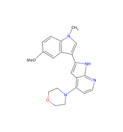 COc1ccc2c(c1)c(-c1cc3c(N4CCOCC4)ccnc3[nH]1)cn2C